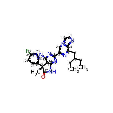 CCC(CC)Cc1nc(-c2nc(N)c3c(n2)NC(=O)C3(C)c2ccc(F)cc2)cn2ccnc12